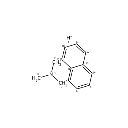 CN(C)C.[H+].c1ccc2ncccc2c1